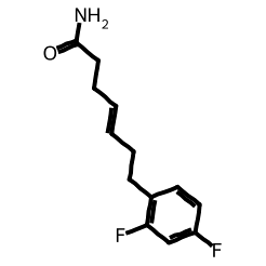 NC(=O)CC/C=C/CCc1ccc(F)cc1F